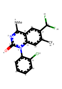 CNc1nc(=O)n(-c2ccccc2Cl)c2cc(C(F)(F)F)c(C(F)F)cc12